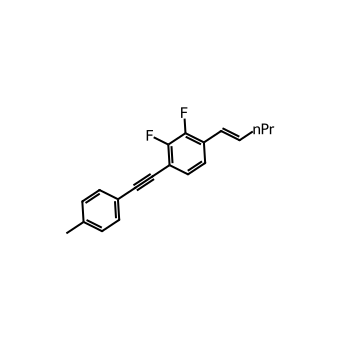 CCC/C=C/c1ccc(C#Cc2ccc(C)cc2)c(F)c1F